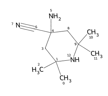 CC1(C)CC(N)(C#N)CC(C)(C)N1